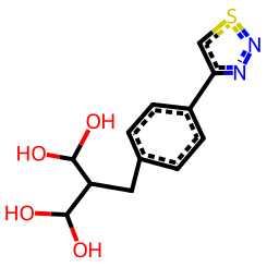 OC(O)C(Cc1ccc(-c2csnn2)cc1)C(O)O